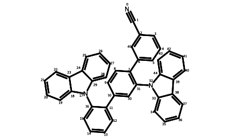 N#Cc1cccc(-c2ccc(-c3ccccc3-n3c4ccccc4c4ccccc43)cc2-n2c3ccccc3c3ccccc32)c1